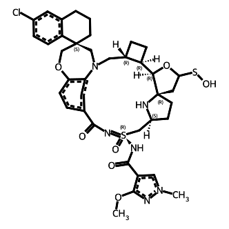 COc1nn(C)cc1C(=O)N[S@@]1(=O)=NC(=O)c2ccc3c(c2)N(C[C@@H]2CC[C@H]2[C@H]2OC(SO)C[C@]24CC[C@@H](C1)N4)C[C@@]1(CCCc2cc(Cl)ccc21)CO3